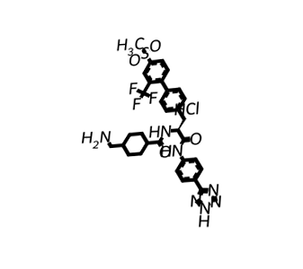 CS(=O)(=O)c1ccc(-c2ccc(C[C@H](NC(=O)C3CCC(CN)CC3)C(=O)Nc3ccc(-c4nn[nH]n4)cc3)cc2)c(C(F)(F)F)c1.Cl